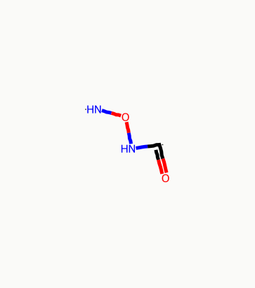 [NH]ON[C]=O